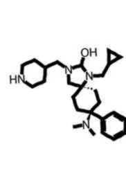 CN(C)[C@]1(c2ccccc2)CC[C@]2(CC1)CN(CC1CCNCC1)C(O)N2CC1CC1